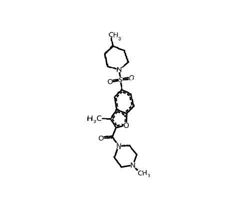 Cc1c(C(=O)N2CCN(C)CC2)oc2ccc(S(=O)(=O)N3CCC(C)CC3)cc12